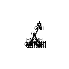 [CH2]c1ccc(NC(=O)CCCC(=O)N(CC(=O)NCCC(O)(P(=O)(O)O)P(=O)(O)O)CC(=O)NCCC(O)(P(=O)(O)O)P(=O)(O)O)cc1